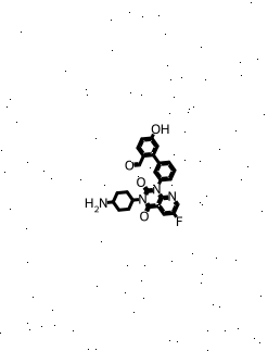 NC1CCC(n2c(=O)c3cc(F)cnc3n(-c3cccc(-c4cc(O)ccc4C=O)c3)c2=O)CC1